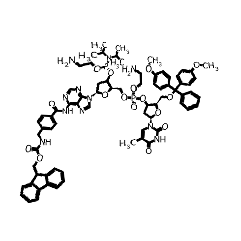 COc1ccc(C(OC[C@H]2O[C@@H](n3cc(C)c(=O)[nH]c3=O)CC2OP(=O)(OCCN)OC[C@H]2O[C@@H](n3cnc4c(NC(=O)c5ccc(CNC(=O)OCC6c7ccccc7-c7ccccc76)cc5)ncnc43)CC2OP(OCCN)N(C(C)C)C(C)C)(c2ccccc2)c2ccc(OC)cc2)cc1